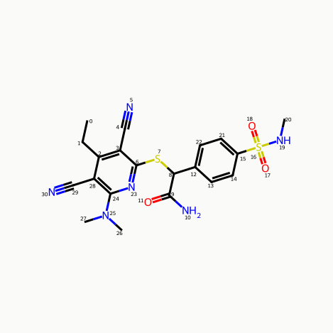 CCc1c(C#N)c(SC(C(N)=O)c2ccc(S(=O)(=O)NC)cc2)nc(N(C)C)c1C#N